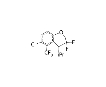 CC(C)C1c2c(ccc(Cl)c2C(F)(F)F)OCC1(F)F